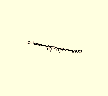 CC(=O)O.CCCCCCCCC=CCCCCCCCCOCCCCCCCCC=CCCCCCCCC